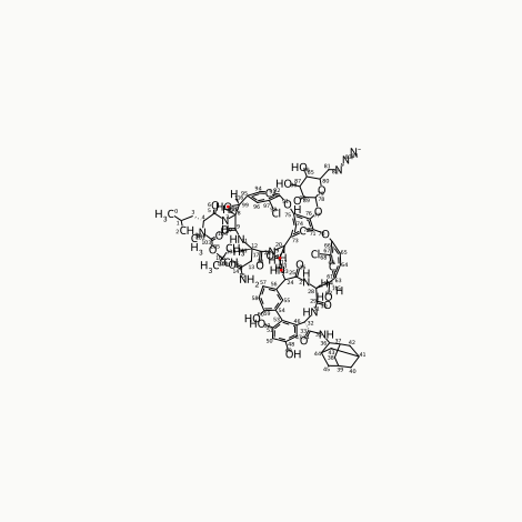 CC(C)C[C@H](C(=O)N[C@H]1C(=O)N[C@@H](CC(N)=O)C(=O)N[C@H]2C(=O)N[C@H]3C(=O)N[C@@H](C(=O)N[C@H](C(=O)NC4C5CC6CC(C5)CC4C6)c4cc(O)cc(O)c4-c4cc3ccc4O)[C@H](O)c3ccc(c(Cl)c3)Oc3cc2cc(c3OC2OC(CN=[N+]=[N-])C(O)C(O)C2O)Oc2ccc(cc2Cl)[C@H]1O)N(C)C(=O)OC(C)(C)C